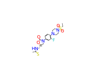 CCS(=O)(=O)N1CCN(c2ccc(N3C[C@H](CNC(C)=S)OC3=O)cc2F)CC1